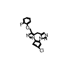 Fc1ccccc1OCc1ncn2c1Cc1cnnn1-c1cc(Cl)ccc1-2